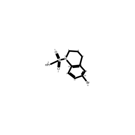 CCCS(=O)(=O)N1CCCc2cc(Br)ccc21